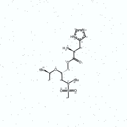 C[C@H](O[C@H](COC(=O)[C@@H](N)Cc1cnc[nH]1)CN(C(C)(C)C)S(C)(=O)=O)C(C)(C)C